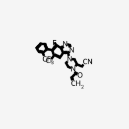 C=CC(=O)N1CCN(c2ncnc3c(F)c(-c4ccccc4C(F)(F)F)c(Cl)cc23)CC1CC#N